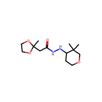 CC1(CC(=O)NNC2CCOCC2(C)C)OCCO1